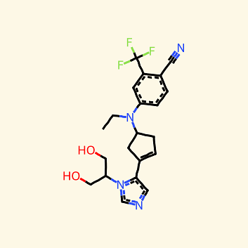 CCN(c1ccc(C#N)c(C(F)(F)F)c1)C1CC=C(c2cncn2C(CO)CO)C1